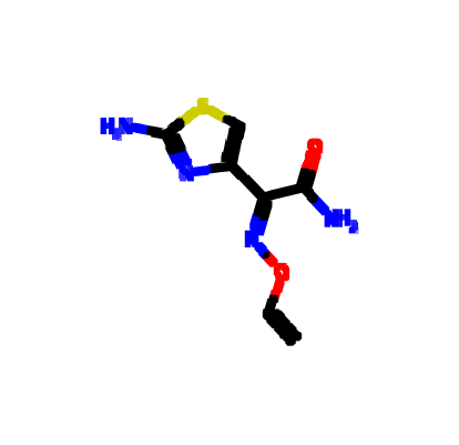 C=CO/N=C(\C(N)=O)c1csc(N)n1